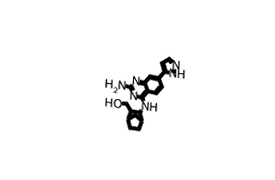 Nc1nc(NC2C3CCC(C3)C2CO)c2ccc(-c3ccn[nH]3)cc2n1